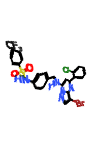 O=S(=O)(Nc1ccc(CNc2cc(-c3ccccc3Cl)nc3c(Br)cnn23)cc1)c1ccc(C(F)(F)F)cc1